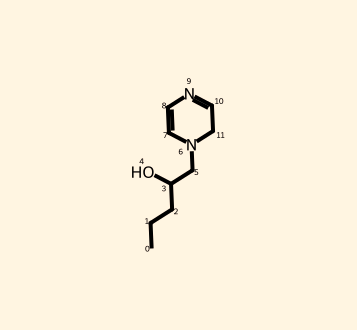 CCCC(O)CN1C=CN=CC1